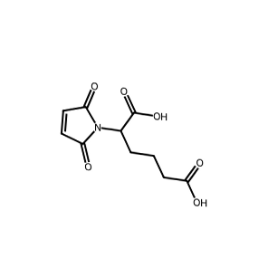 O=C(O)CCCC(C(=O)O)N1C(=O)C=CC1=O